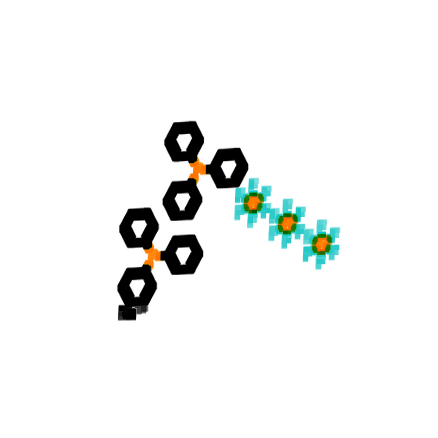 F[P-](F)(F)(F)(F)F.F[P-](F)(F)(F)(F)F.F[P-](F)(F)(F)(F)F.[Rh+3].c1ccc(P(c2ccccc2)c2ccccc2)cc1.c1ccc(P(c2ccccc2)c2ccccc2)cc1